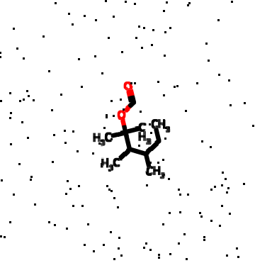 CCC(C)C(C)C(C)(C)OC=O